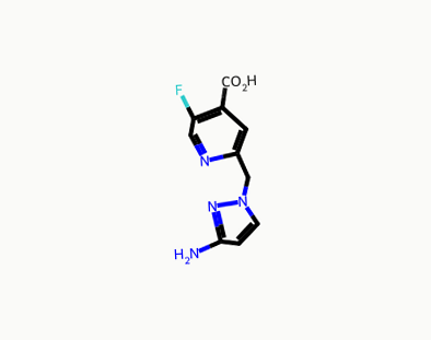 Nc1ccn(Cc2cc(C(=O)O)c(F)cn2)n1